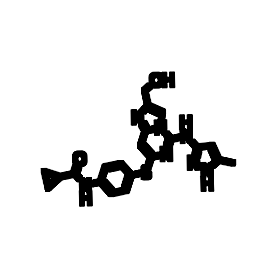 Cc1cc(Nc2nc(Sc3ccc(NC(=O)C4CC4)cc3)cc3nc(CO)cn23)n[nH]1